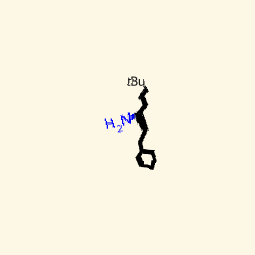 CC(C)(C)CC=CC(N)=CCc1ccccc1